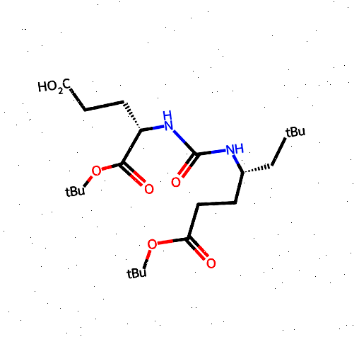 CC(C)(C)C[C@H](CCC(=O)OC(C)(C)C)NC(=O)N[C@@H](CCC(=O)O)C(=O)OC(C)(C)C